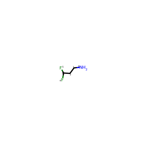 NCCC(F)F